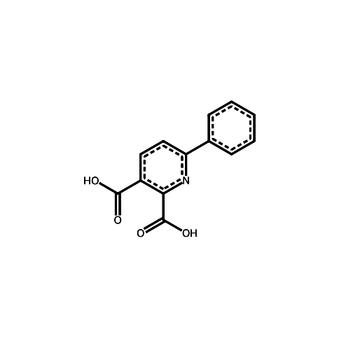 O=C(O)c1ccc(-c2ccccc2)nc1C(=O)O